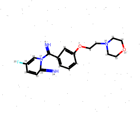 N=C(c1cccc(OCCN2CCOCC2)c1)n1cc(F)ccc1=N